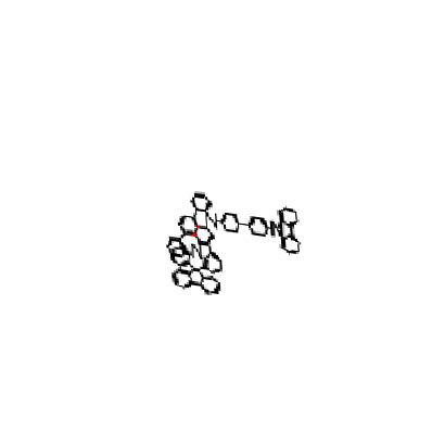 c1ccc(-c2ccc(-c3ccccc3N(c3ccc(-c4ccc(-n5c6ccccc6c6ccccc65)cc4)cc3)c3ccc4c(c3)c3cccc5c3n4-c3ccccc3C53c4ccccc4-c4ccccc43)cc2)cc1